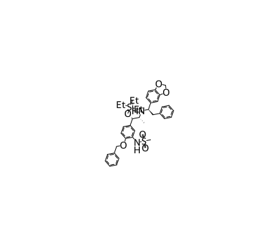 CC[Si](CC)(CC)O[C@@H](c1ccc(OCc2ccccc2)c(NS(C)(=O)=O)c1)[C@@H](C)N[C@H](Cc1ccccc1)c1ccc2c(c1)OCO2